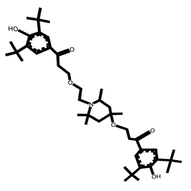 CC1CC(C)(OCCC(=O)c2cc(C(C)(C)C)c(O)c(C(C)(C)C)c2)CC(C)(C)N1CCOCCC(=O)c1cc(C(C)(C)C)c(O)c(C(C)(C)C)c1